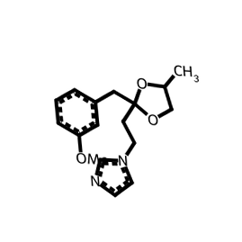 COc1cccc(CC2(CCn3ccnc3)OCC(C)O2)c1